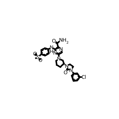 CS(=O)(=O)c1ccc(Nc2nc(N3CCC[C@@H](N4CCN(c5cccc(Cl)c5)C4=O)C3)cnc2C(N)=O)cc1